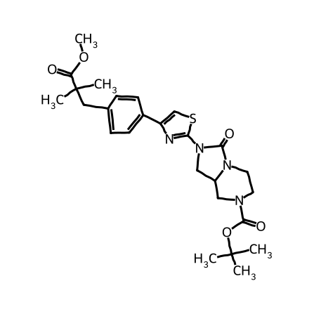 COC(=O)C(C)(C)Cc1ccc(-c2csc(N3CC4CN(C(=O)OC(C)(C)C)CCN4C3=O)n2)cc1